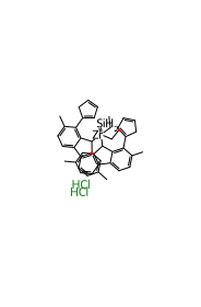 C[CH2][Zr](=[SiH2])([CH2]C)([CH]1c2cc(C)ccc2-c2ccc(C)c(C3=CC=CC3)c21)[CH]1c2cc(C)ccc2-c2ccc(C)c(C3=CC=CC3)c21.Cl.Cl